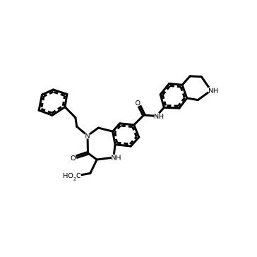 O=C(O)CC1Nc2ccc(C(=O)Nc3ccc4c(c3)CNCC4)cc2CN(CCc2ccccc2)C1=O